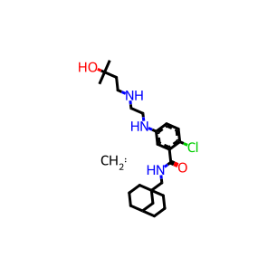 CC(C)(O)CCNCCNc1ccc(Cl)c(C(=O)NCC23CCCC(CCC2)C3)c1.[CH2]